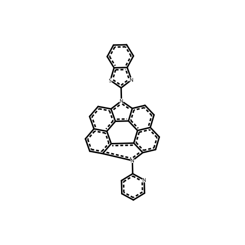 c1ccc(-n2c3ccc4ccc5c6c4c3c3c4c(ccc32)ccc(c46)n5-c2nc3ccccc3s2)nc1